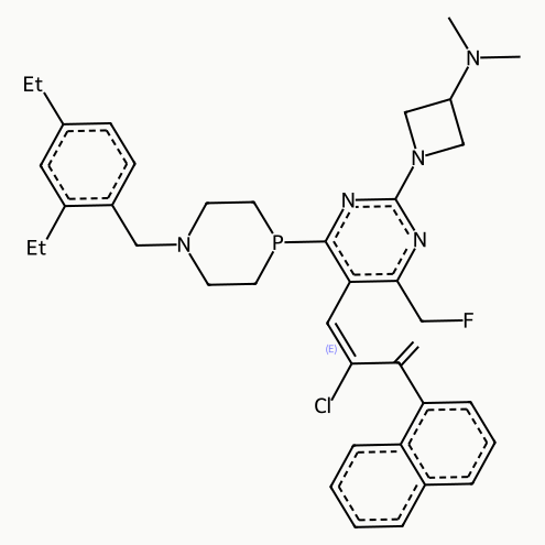 C=C(/C(Cl)=C\c1c(CF)nc(N2CC(N(C)C)C2)nc1P1CCN(Cc2ccc(CC)cc2CC)CC1)c1cccc2ccccc12